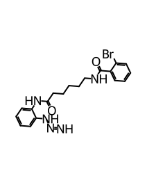 N=NNc1ccccc1NC(=O)CCCCCNC(=O)c1ccccc1Br